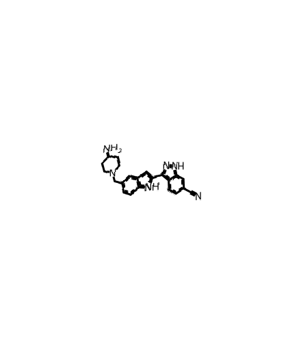 N#Cc1ccc2c(-c3cc4cc(CN5CCC(N)CC5)ccc4[nH]3)n[nH]c2c1